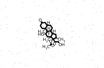 CC(=O)O[C@]1(C(=O)CO)[C@@H](C)C[C@H]2[C@@H]3CC[C@@H]4CC(=O)CC[C@]4(C)[C@@]3(F)[C@@H](O)C[C@@]21C